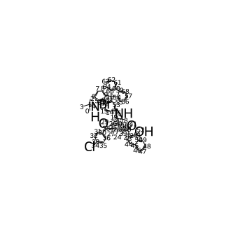 CC(C)(C)Nc1cccc(C2(c3cccc(NC(C)(C)C(C)(C)C(C)(C(C)(C)C(=O)c4ccc(Cl)cc4)C(C)(C)C(=O)c4ccc5ccccc5c4O)c3)c3ccccc3-c3ccccc32)c1Br